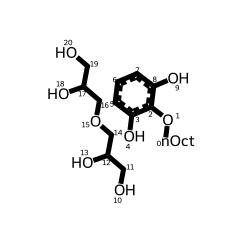 CCCCCCCCOc1c(O)cccc1O.OCC(O)COCC(O)CO